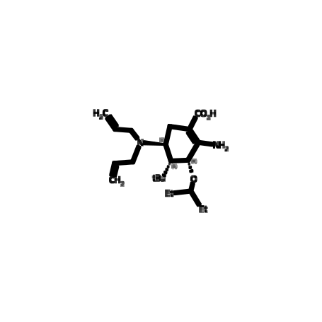 C=CCN(CC=C)[C@H]1CC(C(=O)O)=C(N)[C@H](OC(CC)CC)[C@@H]1C(C)(C)C